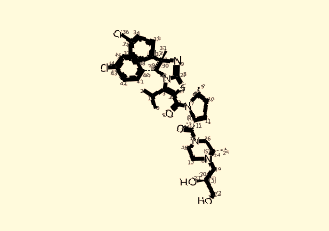 CC(C)C1=C(C(=O)N2[C@H](C)CC[C@@H]2C(=O)N2CCN(C[C@H](O)CO)[C@@H](C)C2)SC2=N[C@@](C)(c3ccc(Cl)cc3)[C@@H](c3ccc(Cl)cc3)N21